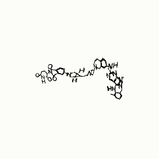 Cc1cccc(C)c1Nc1nn(C)c2nc(Nc3ccc4c(c3)CN(C3CN(CC5[C@H]6CN(c7ccc8c(c7)C(=O)N(C7CCC(=O)NC7=O)C8=O)C[C@@H]56)C3)CC4)ncc12